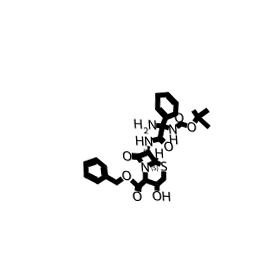 CC(C)(C)OC(=O)NC(N)(C(=O)N[C@@H]1C(=O)N2C(C(=O)OCc3ccccc3)C(O)CS[C@@H]12)C1=CCC=CC1